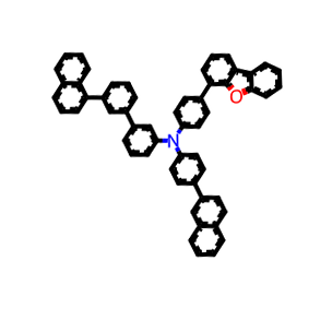 c1cc(-c2cccc(N(c3ccc(-c4ccc5ccccc5c4)cc3)c3ccc(-c4cccc5c4oc4ccccc45)cc3)c2)cc(-c2cccc3ccccc23)c1